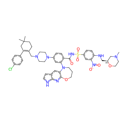 CN1CCO[C@@H](CNc2ccc(S(=O)(=O)NC(=O)c3ccc(N4CCN(CC5=C(c6ccc(Cl)cc6)CC(C)(C)CC5)CC4)cc3N3CCCOc4nc5[nH]ccc5cc43)cc2[N+](=O)[O-])C1